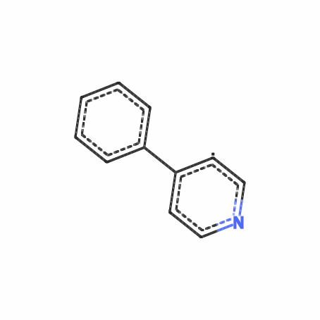 [c]1cnccc1-c1ccccc1